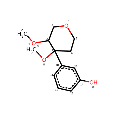 COC1COCCC1(OC)c1cccc(O)c1